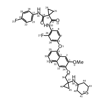 COc1cc2c(Oc3ccc(NC(=O)C4(C(=O)Nc5ccc(F)cc5)CC4)c(F)c3)ccnc2cc1OCC1(NC2CCSCC2)CC1